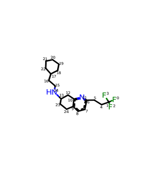 FC(F)(F)CCc1ccc2c(n1)CC(NCCC1CCCCC1)CC2